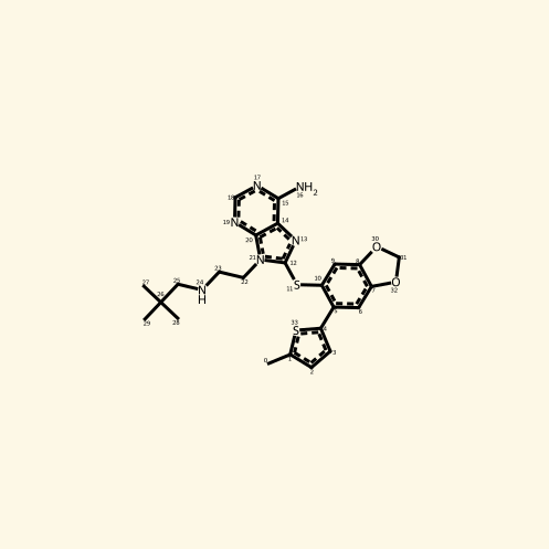 Cc1ccc(-c2cc3c(cc2Sc2nc4c(N)ncnc4n2CCNCC(C)(C)C)OCO3)s1